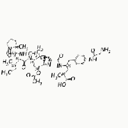 CC[C@H](C)[C@H](NC(=O)[C@@]1(C)CCCN1C)C(=O)N(C)[C@H](C[C@@H](OC(C)=O)c1nc(C(=O)N[C@@H](Cc2ccc(NC(=O)CN)cc2)C[C@H](C)C(=O)O)cs1)C(C)C